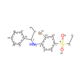 CCC(Nc1ccc(S(=O)(=O)CC)cc1Br)c1ccccc1